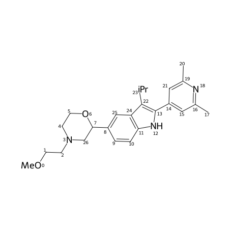 COCCN1CCOC(c2ccc3[nH]c(-c4cc(C)nc(C)c4)c(C(C)C)c3c2)C1